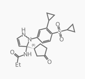 CCC(=O)NC1([C@@H]2CCC(=O)C2)C=CNN1c1ccc(S(=O)(=O)C2CC2)c(C2CC2)c1